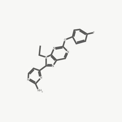 CCn1c(-c2ccnc(N)n2)nc2cnc(Oc3ccc(F)cc3)nc21